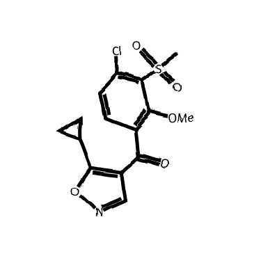 COc1c(C(=O)c2cnoc2C2CC2)ccc(Cl)c1S(C)(=O)=O